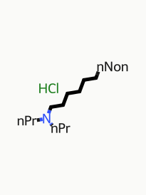 CCCCCCCCCCCCCCCN(CCC)CCC.Cl